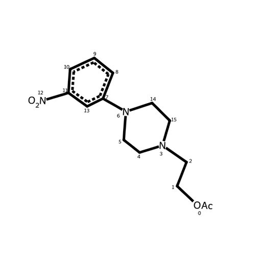 CC(=O)OCCN1CCN(c2cccc([N+](=O)[O-])c2)CC1